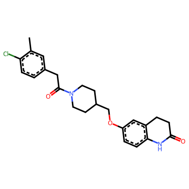 Cc1cc(CC(=O)N2CCC(COc3ccc4c(c3)CCC(=O)N4)CC2)ccc1Cl